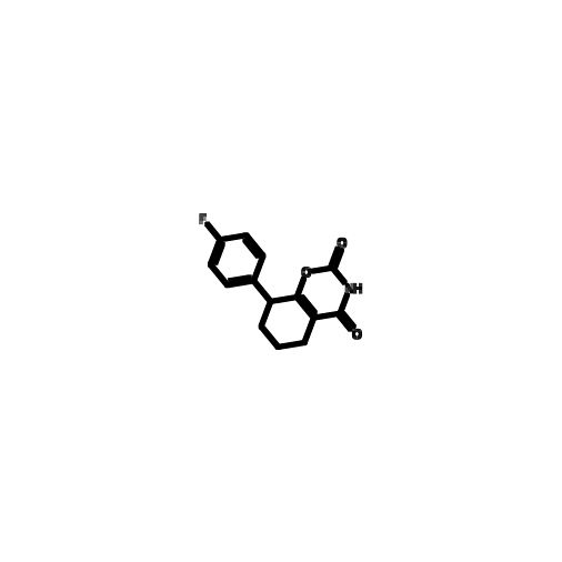 O=c1[nH]c(=O)c2c(o1)C(c1ccc(F)cc1)CCC2